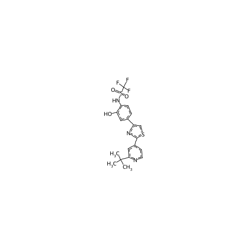 CC(C)(C)c1cc(-c2nc(-c3ccc(NS(=O)(=O)C(F)(F)F)c(O)c3)cs2)ccn1